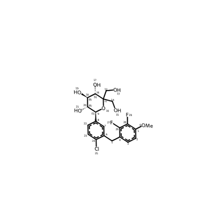 COc1ccc(Cc2cc([C@@H]3OC(CO)(CO)[C@@H](O)[C@H](O)[C@H]3O)ccc2Cl)c(F)c1F